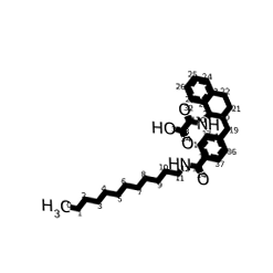 CCCCCCCCCCCCNC(=O)c1ccc(CC2CCc3ccccc3C2NC(=O)C(=O)O)cc1